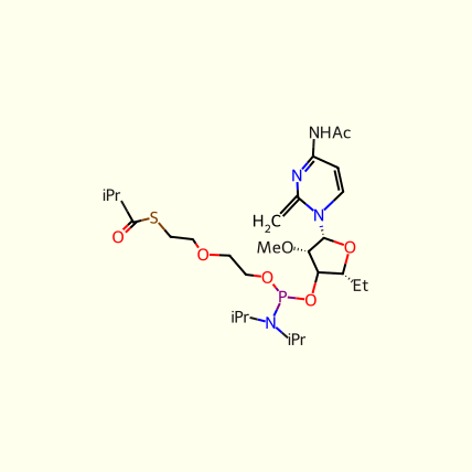 C=C1N=C(NC(C)=O)C=CN1[C@@H]1O[C@H](CC)C(OP(OCCOCCSC(=O)C(C)C)N(C(C)C)C(C)C)[C@@H]1OC